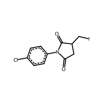 O=C1CC(CI)C(=O)N1c1ccc(Cl)cc1